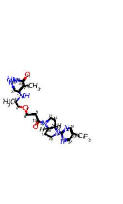 Cc1c(N[C@@H](C)COCCC(=O)N2CC[C@H]3[C@@H]2CCN3c2ncc(C(F)(F)F)cn2)cn[nH]c1=O